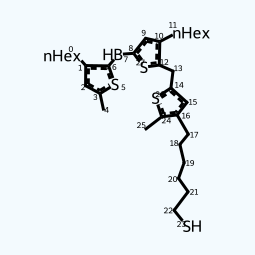 CCCCCCc1cc(C)sc1Bc1cc(CCCCCC)c(Cc2cc(CCCCCCS)c(C)s2)s1